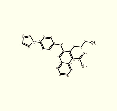 CCCCc1c(Oc2ccc(-n3ccnc3)cc2)cc2ccccc2c1C(N)=O